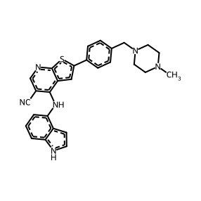 CN1CCN(Cc2ccc(-c3cc4c(Nc5cccc6[nH]ccc56)c(C#N)cnc4s3)cc2)CC1